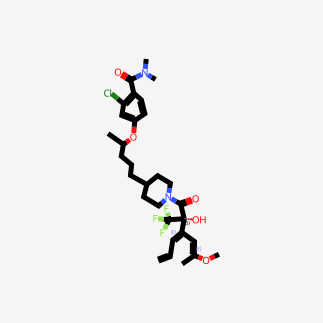 C=C/C=C(\C=C(/C)OC)[C@](O)(C(=O)N1CCC(CCCC(C)Oc2ccc(C(=O)N(C)C)c(Cl)c2)CC1)C(F)(F)F